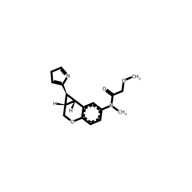 COCC(=O)N(C)c1ccc2c(c1)[C@@H]1[C@H](CO2)[C@H]1C1=CCC=N1